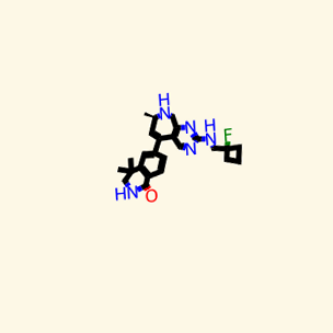 C[C@@H]1C=C(c2ccc3c(c2)C(C)(C)CNC3=O)c2cnc(NCC3(F)CCC3)nc2CN1